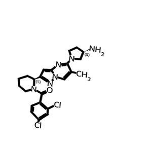 Cc1cn2nc([C@@H]3CCCCN3C(=O)c3ccc(Cl)cc3Cl)cc2nc1N1CC[C@H](N)C1